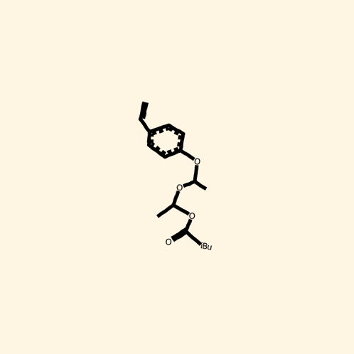 C=Cc1ccc(OC(C)OC(C)OC(=O)C(C)CC)cc1